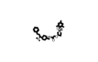 Cc1cc(C)c(S(=O)(=O)N2CCC(OCC(=O)NCC3CCC(C(CCc4ccccc4)N(C)C)CC3)C2)c(C)c1